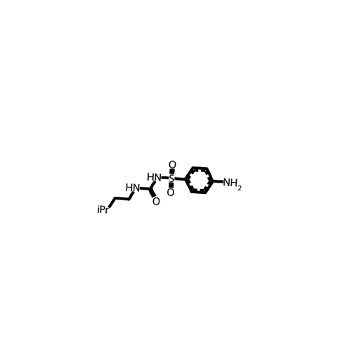 CC(C)CCNC(=O)NS(=O)(=O)c1ccc(N)cc1